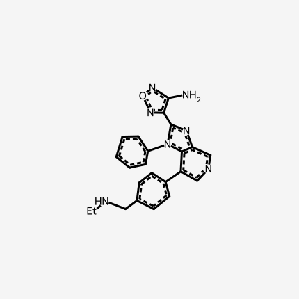 CCNCc1ccc(-c2cncc3nc(-c4nonc4N)n(-c4ccccc4)c23)cc1